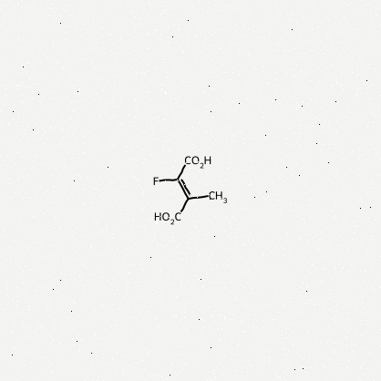 CC(C(=O)O)=C(F)C(=O)O